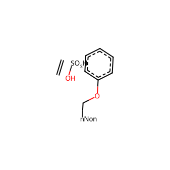 C=C.CCCCCCCCCCOc1ccccc1.O=S(=O)(O)O